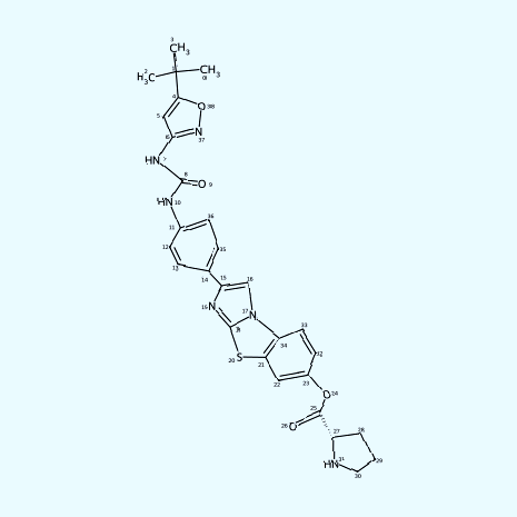 CC(C)(C)c1cc(NC(=O)Nc2ccc(-c3cn4c(n3)sc3cc(OC(=O)[C@@H]5CCCN5)ccc34)cc2)no1